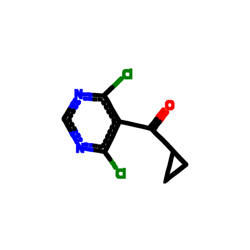 O=C(c1c(Cl)ncnc1Cl)C1CC1